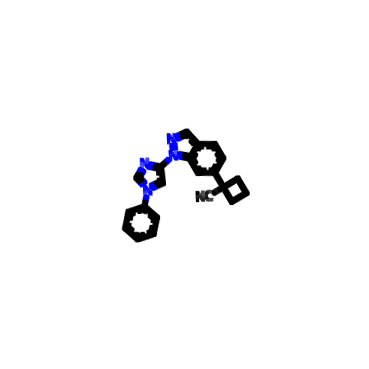 N#CC1(c2ccc3cnn(-c4cn(-c5ccccc5)cn4)c3c2)CCC1